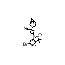 CC1(C)C(=O)N(C2CC(C#N)(N3CCC4C[C@@H]4C3)C2)c2cc(Br)cnc21